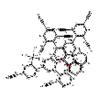 N#Cc1cc(C#N)c(-c2ccc3c(c2)c2ccccc2n3-c2ccc(-c3ccc(C#N)cc3C(F)(F)F)cc2-c2c(C#N)cccc2-n2c3ccccc3c3cc(-c4c(C#N)cc(C#N)cc4C#N)ccc32)c(C#N)c1